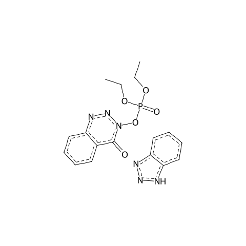 CCOP(=O)(OCC)On1nnc2ccccc2c1=O.c1ccc2[nH]nnc2c1